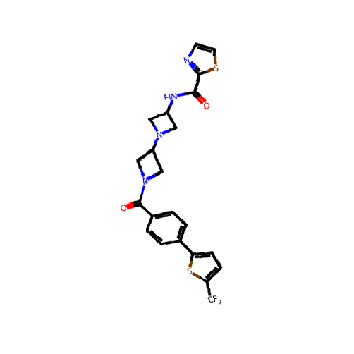 O=C(NC1CN(C2CN(C(=O)c3ccc(-c4ccc(C(F)(F)F)s4)cc3)C2)C1)c1nccs1